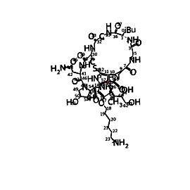 CC[C@H](C)[C@@H]1NC(=O)CNC(=O)C2Cc3c([nH]c4cc(OCCCCCCN)ccc34)SCC(NC(=O)CNC1=O)C(=O)NC(CC(N)=O)C(=O)N1CC(O)C[C@H]1C(=O)N[C@@H]([C@@H](C)[C@@H](O)CO)C(=O)N2